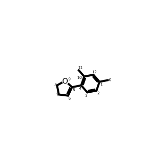 Cc1ccc(C2=CCCO2)c(C)c1